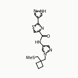 CSCC1(Cn2cc(NC(=O)c3csc(-c4cn[nH]c4)n3)cn2)CCC1